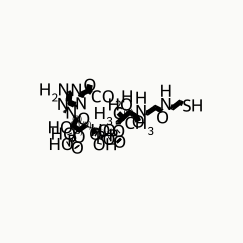 CC(C)(COP(=O)(O)OP(=O)(O)OC[C@H]1O[C@@H](n2cnc3c(N)nc(C(=O)C(=O)O)nc32)[C@H](O)[C@@H]1OP(=O)(O)O)[C@@H](O)C(=O)NCCC(=O)NCCS